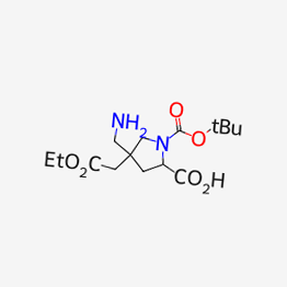 CCOC(=O)CC1(CN)CC(C(=O)O)N(C(=O)OC(C)(C)C)C1